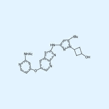 CC(=O)Nc1cc(Oc2cnc3nc(Nc4cc(C(C)(C)C)n(C5CC(O)C5)n4)sc3c2)ccn1